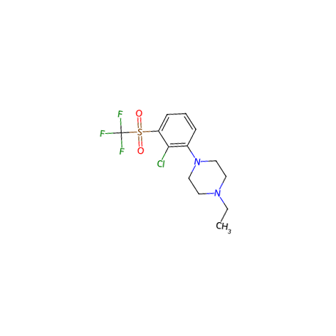 CCN1CCN(c2cccc(S(=O)(=O)C(F)(F)F)c2Cl)CC1